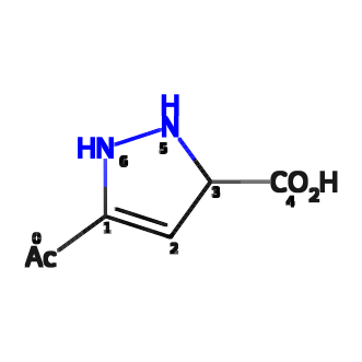 CC(=O)C1=CC(C(=O)O)NN1